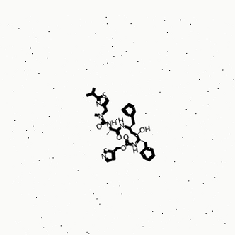 CC(C)c1nc(CN(C)C(=O)N[C@@H](C)C(=O)N[C@@H](Cc2ccccc2)C[C@H](O)[C@H](Cc2ccccc2)NC(=O)OCc2ccns2)cs1